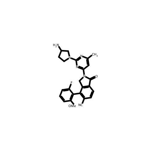 COc1cccc(F)c1-c1c(C#N)ccc2c1CN(c1cc(C)nc(N3CCC(N)C3)n1)C2=O